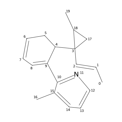 CC=CC1(C2CC=CC=C2c2ncccc2C)CC1C